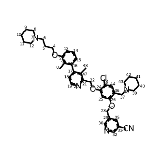 Cc1c(OCCCN2CCCCC2)cccc1-c1ccnc(COc2cc(OCc3cncc(C#N)c3)c(CN3CCCCC3)cc2Cl)c1C